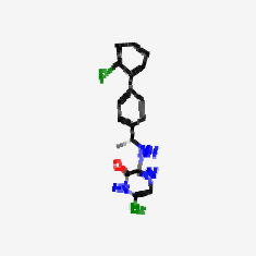 C[C@@H](Nc1ncc(Br)[nH]c1=O)c1ccc(-c2ccccc2F)cc1